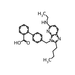 CCCCc1nc2ccc(NCC)nc2n1Cc1ccc(-c2ccccc2C(=O)O)cc1